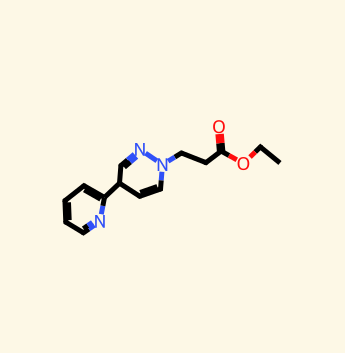 CCOC(=O)CCN1C=CC(c2ccccn2)C=N1